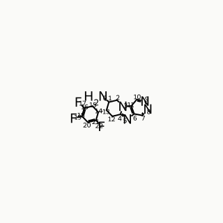 NC1Cn2c(nc3cnncc32)C[C@@H]1C1CC(F)=C(F)C=C1F